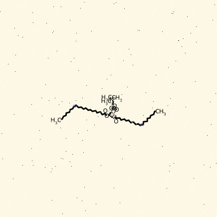 CCCCCCCC/C=C\CCCCCCCCCCCC(=O)O[C@H](COC(=O)CCCCCCCCC/C=C\CCCCCCCC)COP(=O)([O-])OCC[N+](C)(C)C